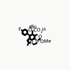 COC(=O)N1CCn2c(C)cc3c(-c4ccc(F)cc4)c([C@H](OC(C)(C)C)C(=O)O)c(C)c1c32